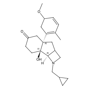 COC1C=CC(C)=C([C@@]23CC(=O)CC[C@@]2(O)[C@H]2C(CN2CC2CC2)C3)C1